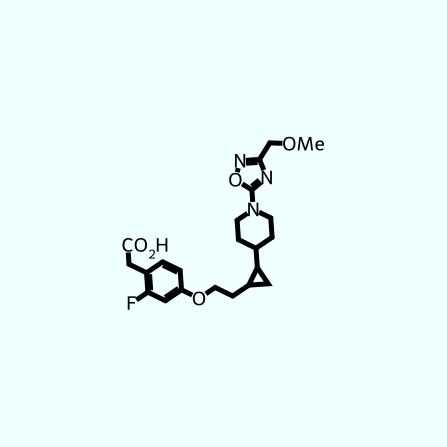 COCc1noc(N2CCC(C3CC3CCOc3ccc(CC(=O)O)c(F)c3)CC2)n1